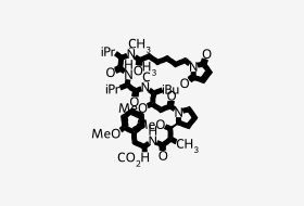 CCC(C)C(C(CC(=O)N1CCC[C@H]1C(OC)C(C)C(=O)NC(Cc1ccccc1OC)C(=O)O)OC)N(C)C(=O)C(NC(=O)C(C(C)C)N(C)C(=O)CCCCCN1C(=O)C=CC1=O)C(C)C